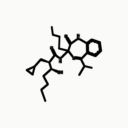 CCCC[C@H](O)[C@@H](CC1CC1)C(=O)NC1(CCCC)N=C(C(C)C)c2ccccc2NC1=O